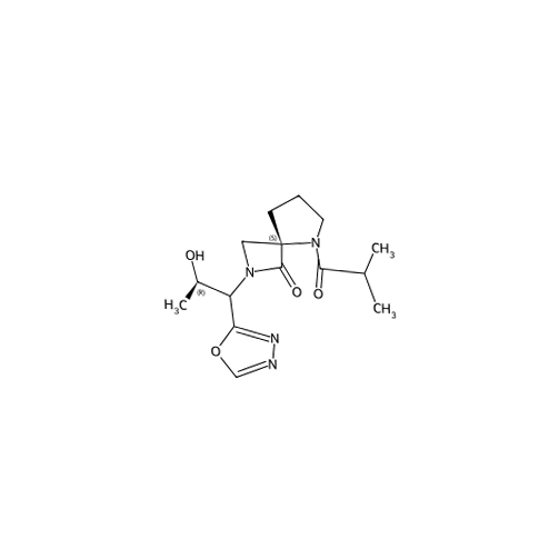 CC(C)C(=O)N1CCC[C@@]12CN(C(c1nnco1)[C@@H](C)O)C2=O